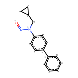 O=NN(CC1CC1)c1ccc(-c2ccccc2)cc1